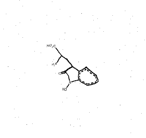 NC(CC1C(=O)N(O)c2ccccc21)C(=O)O